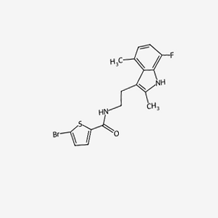 Cc1[nH]c2c(F)ccc(C)c2c1CCNC(=O)c1ccc(Br)s1